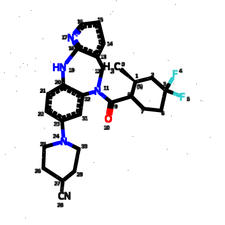 C[C@H]1CC(F)(F)CCC1C(=O)N1Cc2cccnc2Nc2ccc(N3CCC(C#N)CC3)cc21